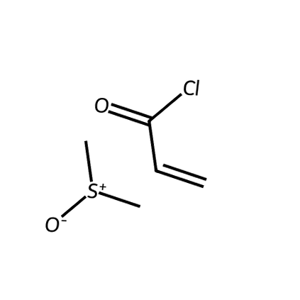 C=CC(=O)Cl.C[S+](C)[O-]